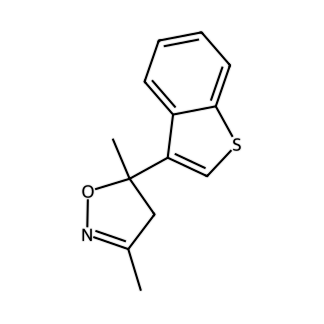 CC1=NOC(C)(c2csc3ccccc23)C1